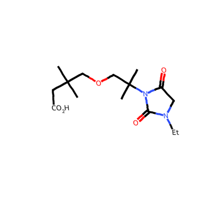 CCN1CC(=O)N(C(C)(C)COCC(C)(C)CC(=O)O)C1=O